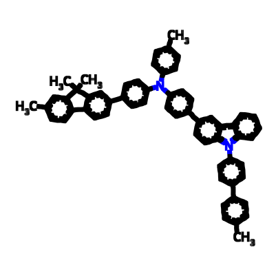 Cc1ccc(-c2ccc(-n3c4ccccc4c4cc(-c5ccc(N(c6ccc(C)cc6)c6ccc(-c7ccc8c(c7)C(C)(C)c7cc(C)ccc7-8)cc6)cc5)ccc43)cc2)cc1